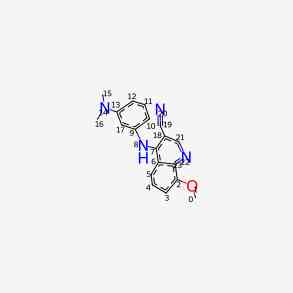 COc1cccc2c(Nc3cccc(N(C)C)c3)c(C#N)cnc12